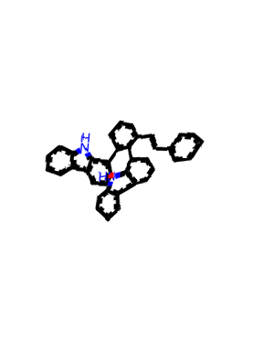 C(=Cc1cccc(-c2cccc3c2[nH]c2ccccc23)c1-c1cccc2c1[nH]c1ccccc12)c1ccccc1